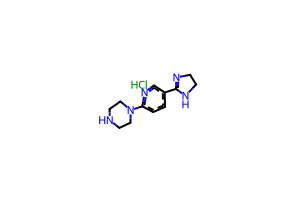 Cl.c1cc(N2CCNCC2)ncc1C1=NCCN1